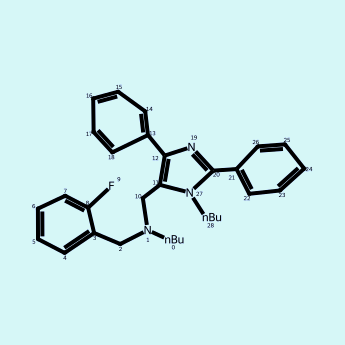 CCCCN(Cc1ccccc1F)Cc1c(-c2ccccc2)nc(-c2ccccc2)n1CCCC